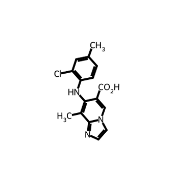 Cc1ccc(Nc2c(C(=O)O)cn3ccnc3c2C)c(Cl)c1